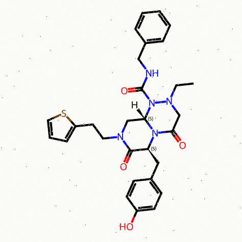 CCN1CC(=O)N2[C@@H](Cc3ccc(O)cc3)C(=O)N(CCc3cccs3)C[C@@H]2N1C(=O)NCc1ccccc1